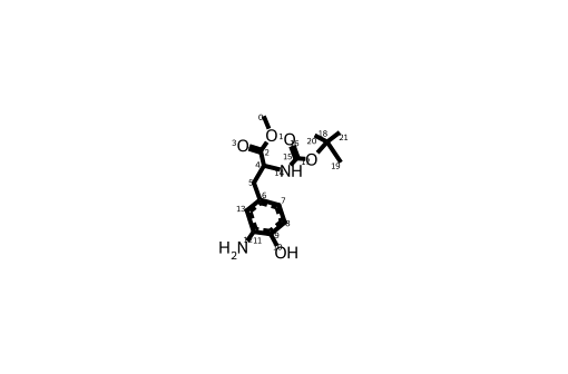 COC(=O)C(Cc1ccc(O)c(N)c1)NC(=O)OC(C)(C)C